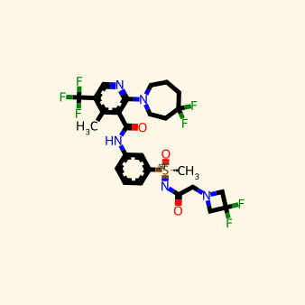 Cc1c(C(F)(F)F)cnc(N2CCCC(F)(F)CC2)c1C(=O)Nc1cccc([S@@](C)(=O)=NC(=O)CN2CC(F)(F)C2)c1